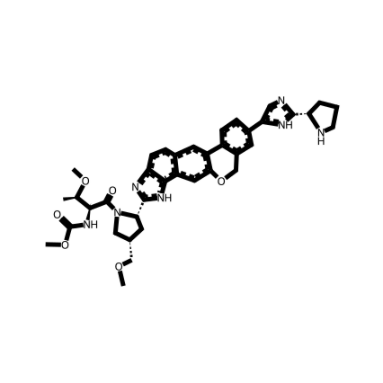 COC[C@H]1C[C@@H](c2nc3ccc4cc5c(cc4c3[nH]2)OCc2cc(-c3cnc([C@@H]4CCCN4)[nH]3)ccc2-5)N(C(=O)[C@@H](NC(=O)OC)[C@@H](C)OC)C1